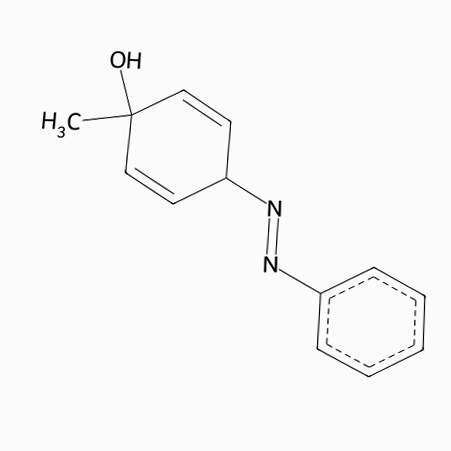 CC1(O)C=CC(/N=N/c2ccccc2)C=C1